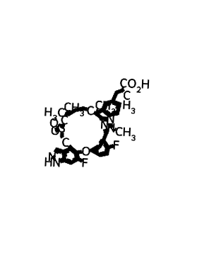 C[C@@H](Cc1cccc([C@@]2(C)CCCC(C)(C)CS(=O)(=O)CCc3c(c(F)cc4[nH]ncc34)Oc3ccc(F)c(c3)-c3nc2nn3C)c1)C(=O)O